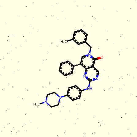 Cc1cccc(Cn2cc(-c3ccccc3)c3nc(Nc4ccc(N5CCN(C)CC5)cc4)ncc3c2=O)c1